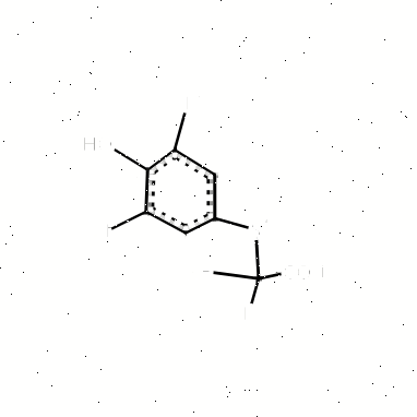 O=C(O)C(F)(F)Sc1cc(I)c(O)c(I)c1